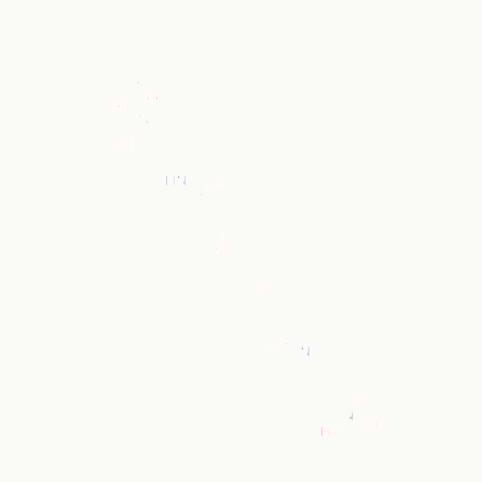 CCC(C)C(C)(O[Si](O)(O)CCCNC(=O)CCOCCOCCC(=O)NCCC[Si](O)(O)OC)C(C)CC